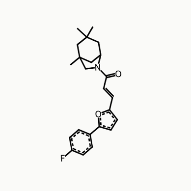 CC1(C)CC2CC(C)(CN2C(=O)C=Cc2ccc(-c3ccc(F)cc3)o2)C1